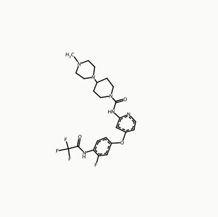 CN1CCN(C2CCN(C(=O)Nc3cc(Oc4ccc(NC(=O)C(F)(F)F)c(F)c4)ccn3)CC2)CC1